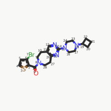 O=C(c1sccc1Br)N1CCc2cnc(N3CCN(C4CCC4)CC3)nc2CC1